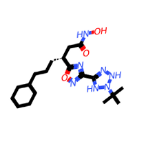 CC(C)(C)N1NN=C(c2noc([C@H](CCCC3CCCCC3)CC(=O)NO)n2)N1